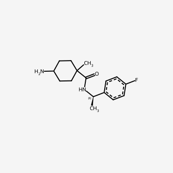 C[C@@H](NC(=O)C1(C)CCC(N)CC1)c1ccc(F)cc1